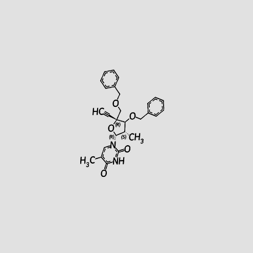 C#C[C@]1(COCc2ccccc2)O[C@@H](n2cc(C)c(=O)[nH]c2=O)[C@@H](C)C1OCc1ccccc1